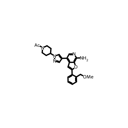 COCc1ccccc1-c1cc2c(-c3cnn(C4CCN(C(C)=O)CC4)c3)cnc(N)c2o1